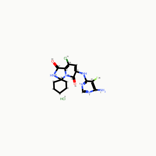 Cl.Nc1ncnc(Nc2cc(Cl)c3n(c2=O)C2(CCCCC2)NC3=O)c1F